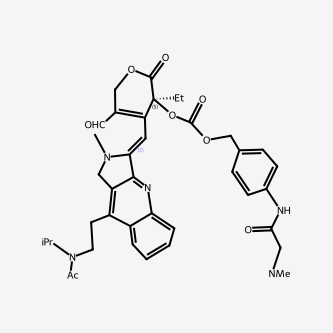 CC[C@@]1(OC(=O)OCc2ccc(NC(=O)CNC)cc2)C(=O)OCC(C=O)=C1/C=C1/c2nc3ccccc3c(CCN(C(C)=O)C(C)C)c2CN1C